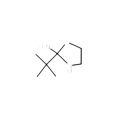 CC(C)(C)C1(N)NCCS1